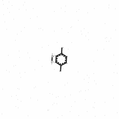 CC(=O)Cl.Cc1ccc(C)cc1